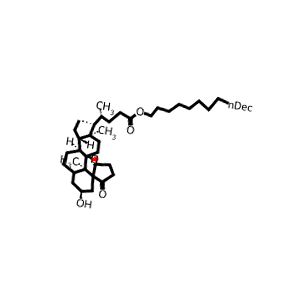 CCCCCCCCCCCCCCCCCCOC(=O)CC[C@@H](C)[C@H]1CC[C@H]2[C@@H]3CCC4C[C@H](O)CC5(C(=O)CCC5=O)[C@]4(C)[C@H]3CC[C@]12C